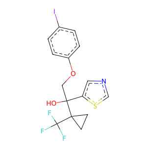 OC(COc1ccc(I)cc1)(c1cncs1)C1(C(F)(F)F)CC1